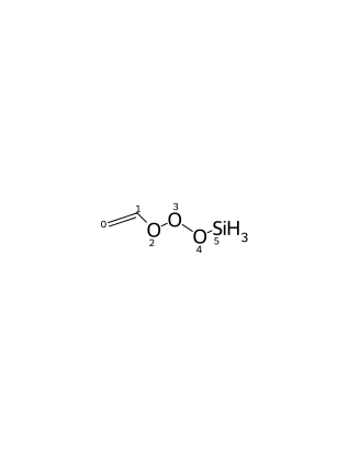 C=COOO[SiH3]